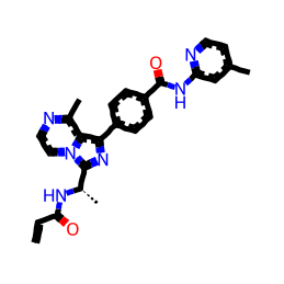 C=CC(=O)N[C@@H](C)c1nc(-c2ccc(C(=O)Nc3cc(C)ccn3)cc2)c2c(C)nccn12